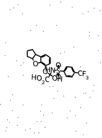 O=C(O)C(O)(NS(=O)(=O)c1ccc(C(F)(F)F)cc1)Oc1cccc2c1OC1CCCC21